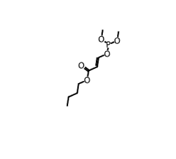 CCCCOC(=O)C=COP(OC)OC